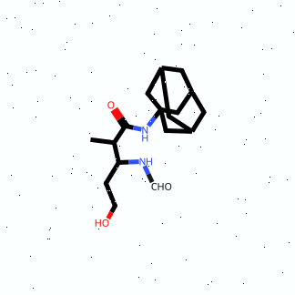 CC(C(=O)NC12CC3CC(CC(C3)C1)C2)C(CCO)NC=O